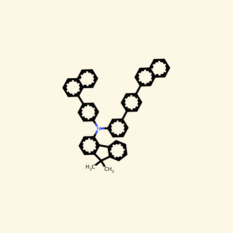 CC1(C)c2ccccc2-c2c(N(c3ccc(-c4cccc5ccccc45)cc3)c3cccc(-c4ccc(-c5ccc6ccccc6c5)cc4)c3)cccc21